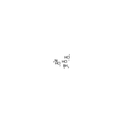 B.Cl.Cl.Cl.[Ni]